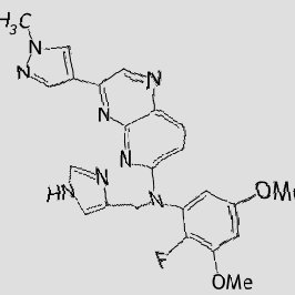 COc1cc(OC)c(F)c(N(Cc2c[nH]cn2)c2ccc3ncc(-c4cnn(C)c4)nc3n2)c1